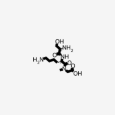 CN(CC(=O)O)C(=O)[C@H](CCCCN)NC(=O)[C@@H](N)CO